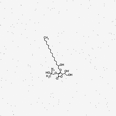 CCCCCCCCCCCCCCC(O)COC1=C(OCC(C)(C)O)C(=O)O[C@@H]1[C@@H](O)CO